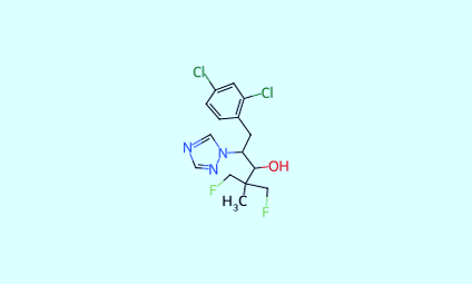 CC(CF)(CF)C(O)C(Cc1ccc(Cl)cc1Cl)n1cncn1